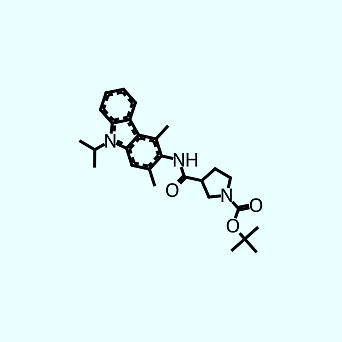 Cc1cc2c(c(C)c1NC(=O)C1CCN(C(=O)OC(C)(C)C)C1)c1ccccc1n2C(C)C